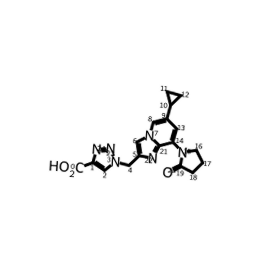 O=C(O)c1cn(Cc2cn3cc(C4CC4)cc(N4CCCC4=O)c3n2)nn1